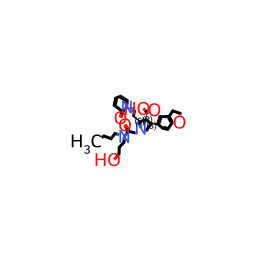 CCCCN(CCCO)C(=O)CN1C[C@H](c2ccc3c(c2)CCO3)[C@@H](C(=O)O)[C@@H]1CCn1ccccc1=O